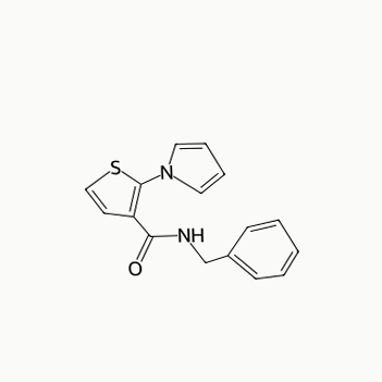 O=C(NCc1ccccc1)c1ccsc1-n1cccc1